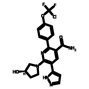 NC(=O)c1cc(-c2ccn[nH]2)c(N2CC[C@@H](O)C2)nc1-c1ccc(OC(F)(F)Cl)cc1